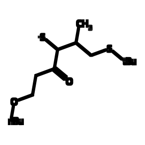 CCCCOCCC(=O)C([S])C(C)CSC(C)(C)C